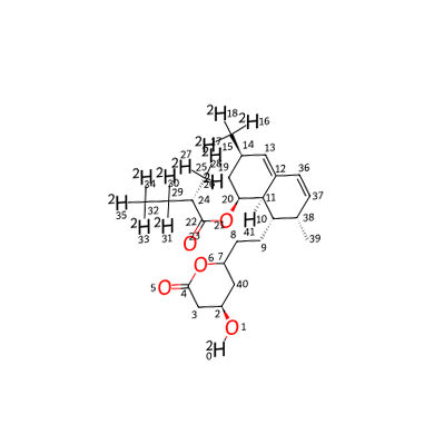 [2H]O[C@H]1CC(=O)OC(CC[C@@H]2[C@@H]3C(=C[C@H](C([2H])([2H])[2H])C[C@@H]3OC(=O)[C@@H](C([2H])([2H])[2H])C([2H])([2H])C([2H])([2H])[2H])C=C[C@@H]2C)C1